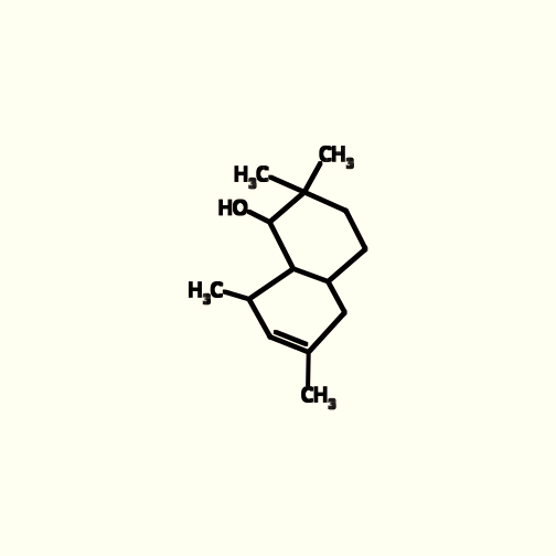 CC1=CC(C)C2C(CCC(C)(C)C2O)C1